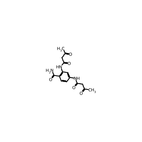 CC(=O)CC(=O)Nc1ccc(C(N)=O)c(NC(=O)CC(C)=O)c1